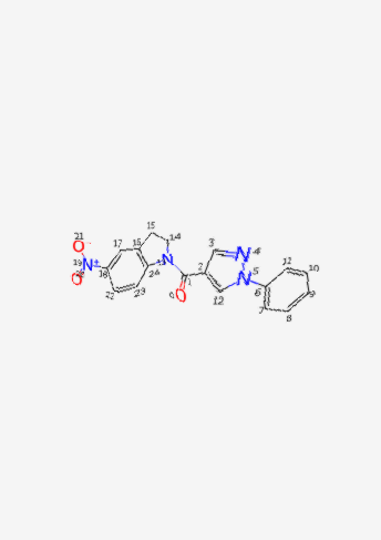 O=C(c1cnn(-c2ccccc2)c1)N1CCc2cc([N+](=O)[O-])ccc21